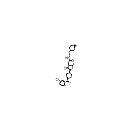 O=C(CN1C(=O)SC(=C2CCN(C(=O)c3cc(Cl)ccc3Cl)CC2)C1=O)NCCC1CCNCC1